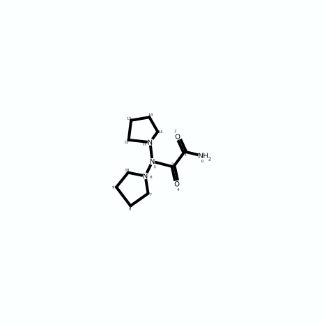 NC(=O)C(=O)N(N1CCCC1)N1CCCC1